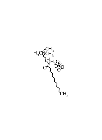 CCCCCCCCCC=CC(=O)NCCC[N+](C)(C)CC.COS(=O)(=O)[O-]